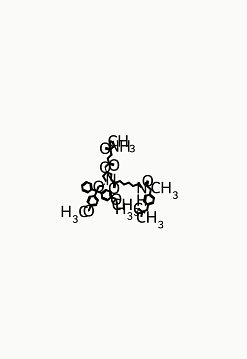 CNC(=O)CCC(=O)O[C@@H]1C[C@@H](COC(c2ccccc2)(c2ccc(OC)cc2)c2ccc(OC)cc2)N(C(=O)CCCCCNC(=O)[C@@H](C)c2ccc(CC(C)C)cc2)C1